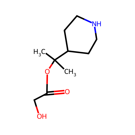 CC(C)(OC(=O)CO)C1CCNCC1